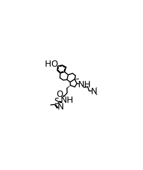 Cc1cnc(NC(=O)CC[C@@H]2CC(NCCCN(C)C)[C@@]3(C)CCC4c5ccc(O)cc5CCC4C23)s1